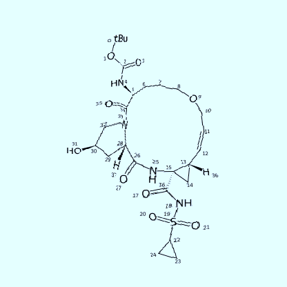 CC(C)(C)OC(=O)N[C@H]1CCCOC/C=C\[C@@H]2C[C@@]2(C(=O)NS(=O)(=O)C2CC2)NC(=O)[C@@H]2C[C@@H](O)CN2C1=O